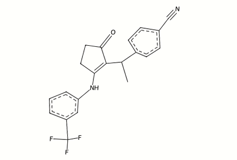 CC(C1=C(Nc2cccc(C(F)(F)F)c2)CCC1=O)c1ccc(C#N)cc1